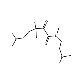 CN(C)CCN(C)C(=O)C(=O)C(C)(C)CCN(C)C